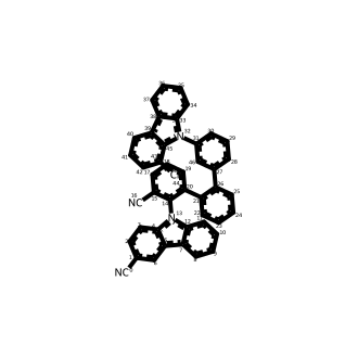 N#Cc1ccc2c(c1)c1ccccc1n2-c1c(C#N)cccc1-c1ccccc1-c1cccc(-n2c3ccccc3c3cccc(C#N)c32)c1